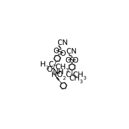 CC(C)(C(=O)NCC#Cc1ccccc1)c1ccc(S(=O)(=O)/C=C/C#N)cc1.CC(C)(C(=O)O)c1ccc(S(=O)(=O)/C=C/C#N)cc1